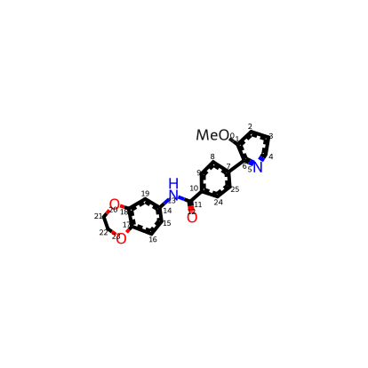 COc1cccnc1-c1ccc(C(=O)Nc2ccc3c(c2)OCCO3)cc1